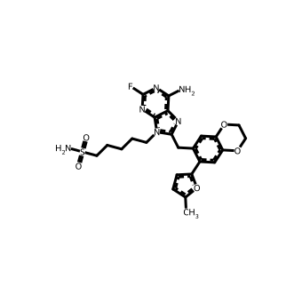 Cc1ccc(-c2cc3c(cc2Cc2nc4c(N)nc(F)nc4n2CCCCCS(N)(=O)=O)OCCO3)o1